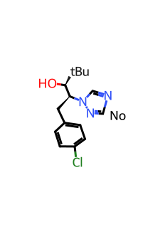 CC(C)(C)[C@H](O)[C@H](Cc1ccc(Cl)cc1)n1cncn1.[No]